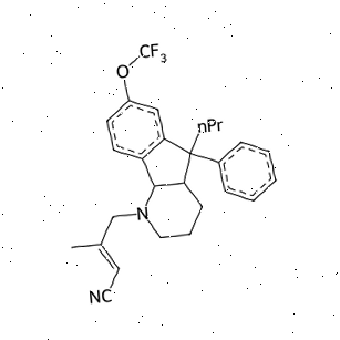 CCCC1(c2ccccc2)c2cc(OC(F)(F)F)ccc2C2C1CCCN2CC(C)=CC#N